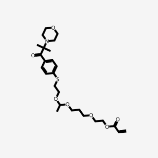 C=CC(=O)OCCOCCCOC(C)OCCSc1ccc(C(=O)C(C)(C)N2CCOCC2)cc1